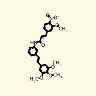 COc1cc(/C=C/C(=O)Nc2cccc(C=Cc3cc(OC)c(OC)c(OC)c3)c2)ccc1[N+](=O)[O-]